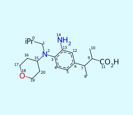 CC(C)CN(c1ccc(C(C)C(C)C(=O)O)cc1N)C1CCOCC1